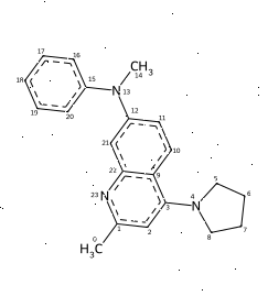 Cc1cc(N2CCCC2)c2ccc(N(C)c3ccccc3)cc2n1